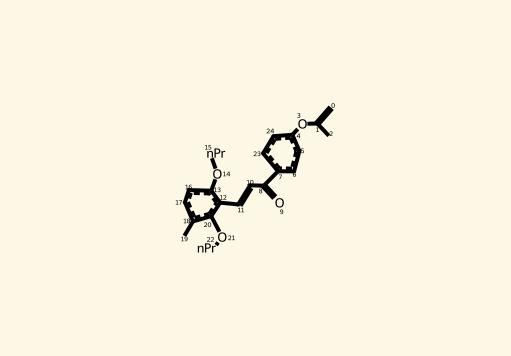 C=C(C)Oc1ccc(C(=O)C=Cc2c(OCCC)ccc(C)c2OCCC)cc1